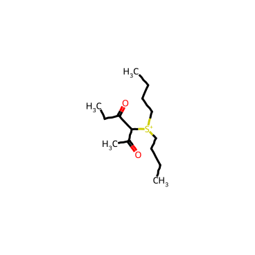 CCCC[S+](CCCC)C(C(C)=O)C(=O)CC